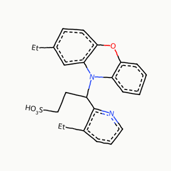 CCc1ccc2c(c1)N(C(CCS(=O)(=O)O)c1ncccc1CC)c1ccccc1O2